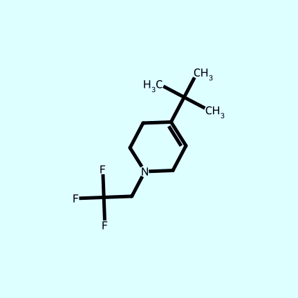 CC(C)(C)C1=CCN(CC(F)(F)F)CC1